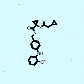 O=C(CC1CC1)NC1(C(=O)NCc2ccc(Nc3ccccc3C(F)(F)F)cc2)CC1